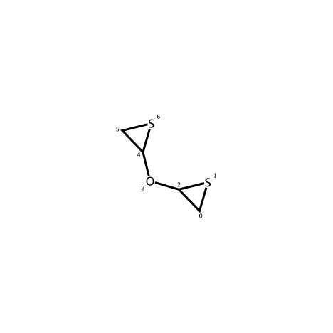 C1SC1OC1CS1